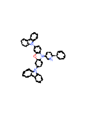 c1ccc(-c2ccc(N3c4ccc(-n5c6ccccc6c6ccccc65)cc4Oc4cc(-n5c6ccccc6c6ccccc65)ccc43)cn2)cc1